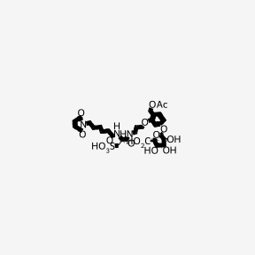 CC(=O)OCc1ccc(O[C@@H]2O[C@H](C(=O)O)[C@@H](O)[C@H](O)[C@H]2O)cc1OCCCNC(=O)[C@H](CS(=O)(=O)O)NC(=O)CCCCCN1C(=O)C=CC1=O